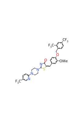 COc1cc(/C=C2/SC(N3CCN(c4ccc(C(F)(F)F)cn4)CC3)=NC2=O)ccc1OCc1ccc(C(F)(F)F)cc1C(F)(F)F